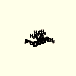 COC1CCC2(CC1)Cc1ccc(OCC3CC3)cc1[C@@]21N=C(N)N(C(C)C)C1=O